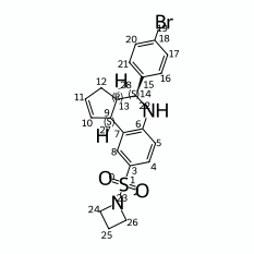 O=S(=O)(c1ccc2c(c1)[C@H]1C=CC[C@H]1[C@@H](c1ccc(Br)cc1)N2)N1CCC1